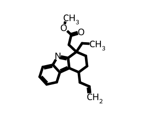 C=CCC1CCC(CC)(CC(=O)OC)C2=NC3=CC=CCC3=C21